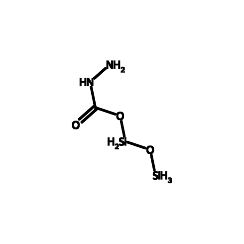 NNC(=O)O[SiH2]O[SiH3]